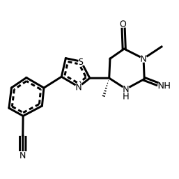 CN1C(=N)N[C@@](C)(c2nc(-c3cccc(C#N)c3)cs2)CC1=O